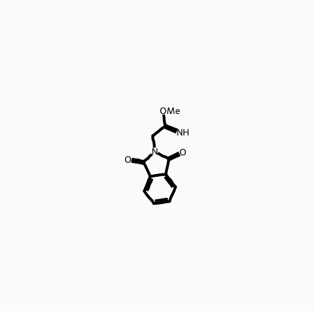 COC(=N)CN1C(=O)c2ccccc2C1=O